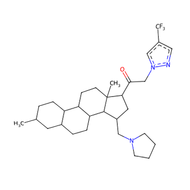 CC1CCC2C(CCC3C2CCC2(C)C(C(=O)Cn4cc(C(F)(F)F)cn4)CC(CN4CCCC4)C32)C1